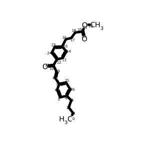 CCCCc1ccc(C=CC(=O)c2ccc(CCCC(=O)OC)cc2)cc1